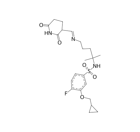 CC(C)(CCC/N=C/C1CCC(=O)NC1=O)NS(=O)(=O)c1ccc(F)c(OCC2CC2)c1